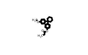 CCC(=O)Oc1ccc(C2(c3ccc(OC)cc3)CCCCC2)cc1